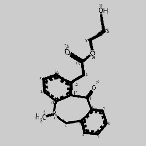 CN1Cc2ccccc2C(=O)c2c(CC(=O)OCCO)cccc21